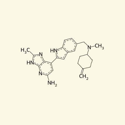 C=C1CCC(N(C)Cc2ccc3[nH]c(-c4cc(N)nc5[nH]c(C)nc45)cc3c2)CC1